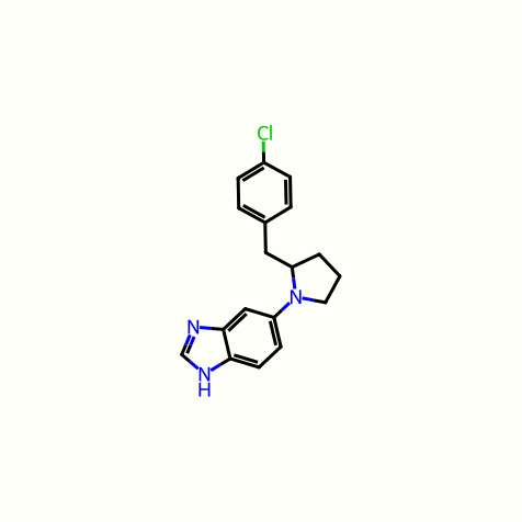 Clc1ccc(CC2CCCN2c2ccc3[nH]cnc3c2)cc1